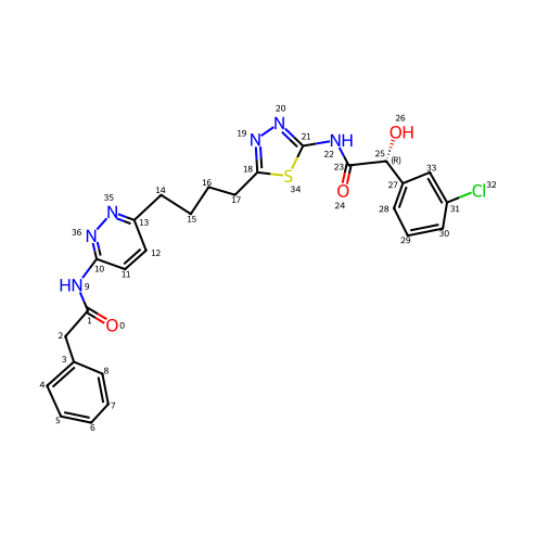 O=C(Cc1ccccc1)Nc1ccc(CCCCc2nnc(NC(=O)[C@H](O)c3cccc(Cl)c3)s2)nn1